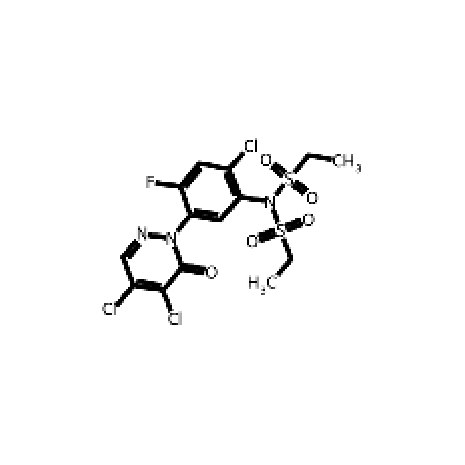 CCS(=O)(=O)N(c1cc(-n2ncc(Cl)c(Cl)c2=O)c(F)cc1Cl)S(=O)(=O)CC